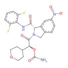 NC(=O)O[C@H](C(=O)N1Cc2ccc([N+](=O)[O-])cc2[C@H]1C(=O)Nc1c(F)cccc1F)C1CCOCC1